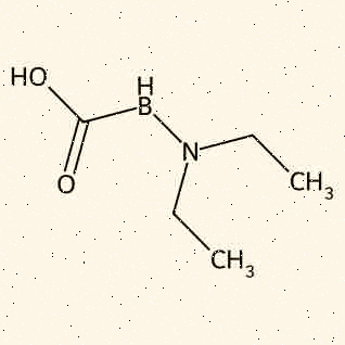 CCN(BC(=O)O)CC